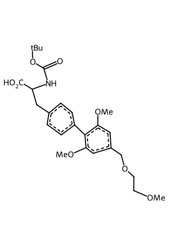 COCCOCc1cc(OC)c(-c2ccc(CC(NC(=O)OC(C)(C)C)C(=O)O)cc2)c(OC)c1